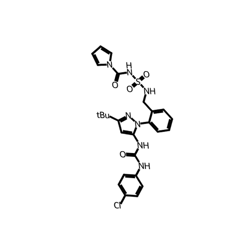 CC(C)(C)c1cc(NC(=O)Nc2ccc(Cl)cc2)n(-c2ccccc2CNS(=O)(=O)NC(=O)n2cccc2)n1